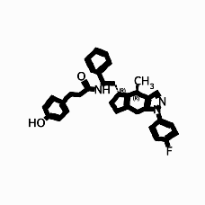 C[C@@H]1C2=C(CC[C@@H]2CC(NC(=O)CCc2ccc(O)cc2)c2ccccc2)Cc2c1cnn2-c1ccc(F)cc1